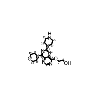 OCCOc1ncnc2c(N3CCOCC3)nc(N3CCNCC3)nc12